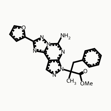 COC(=O)C(C)(Cc1ccccc1)n1ncc2c1nc(N)n1nc(-c3ccco3)nc21